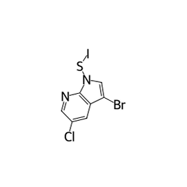 Clc1cnc2c(c1)c(Br)cn2SI